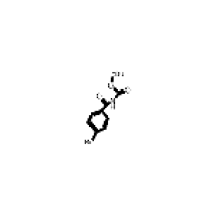 CC(C)(C)OC(=O)NC(=O)c1ccc(Br)cc1